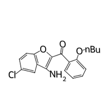 CCCCOc1ccccc1C(=O)c1oc2ccc(Cl)cc2c1N